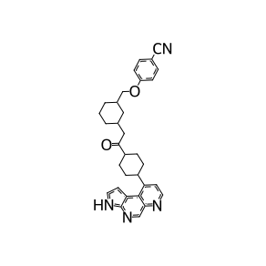 N#Cc1ccc(OCC2CCCC(CC(=O)C3CCC(c4ccnc5cnc6[nH]ccc6c45)CC3)C2)cc1